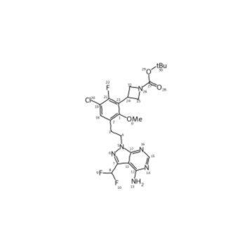 COc1c(CCn2nc(C(F)F)c3c(N)ncnc32)cc(Cl)c(F)c1C1CN(C(=O)OC(C)(C)C)C1